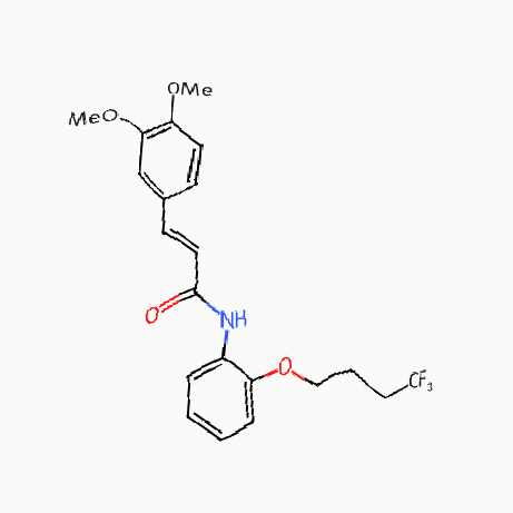 COc1ccc(/C=C/C(=O)Nc2ccccc2OCCCC(F)(F)F)cc1OC